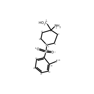 NC1(C(=O)O)CCN(S(=O)(=O)c2ccccc2F)CC1